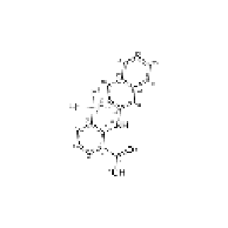 O=C(O)c1cccc(C(F)(F)F)c1Nc1ccc2ccccc2c1